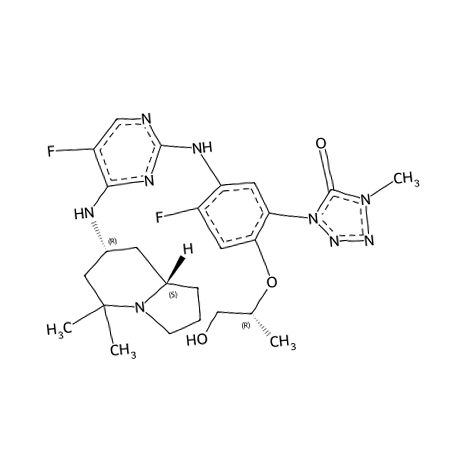 C[C@H](CO)Oc1cc(F)c(Nc2ncc(F)c(N[C@@H]3C[C@@H]4CCCN4C(C)(C)C3)n2)cc1-n1nnn(C)c1=O